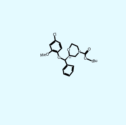 COc1cc(Cl)ccc1OC(c1ccccc1)[C@@H]1CN(C(=O)OC(C)(C)C)CCO1